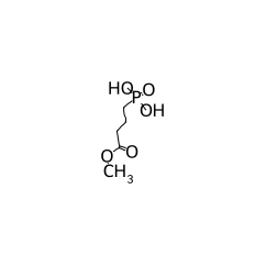 COC(=O)CCCP(=O)(O)O